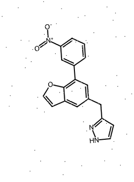 O=[N+]([O-])c1cccc(-c2cc(Cc3cc[nH]n3)cc3ccoc23)c1